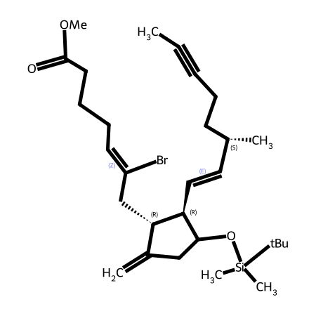 C=C1CC(O[Si](C)(C)C(C)(C)C)[C@H](/C=C/[C@@H](C)CCC#CC)[C@H]1C/C(Br)=C/CCCC(=O)OC